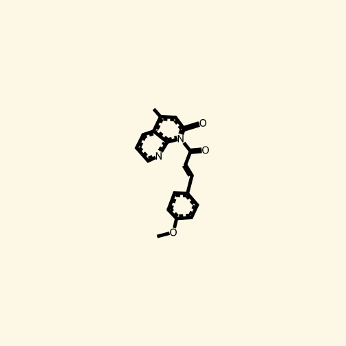 COc1ccc(C=CC(=O)n2c(=O)cc(C)c3cccnc32)cc1